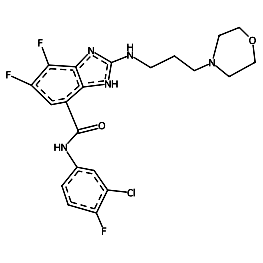 O=C(Nc1ccc(F)c(Cl)c1)c1cc(F)c(F)c2nc(NCCCN3CCOCC3)[nH]c12